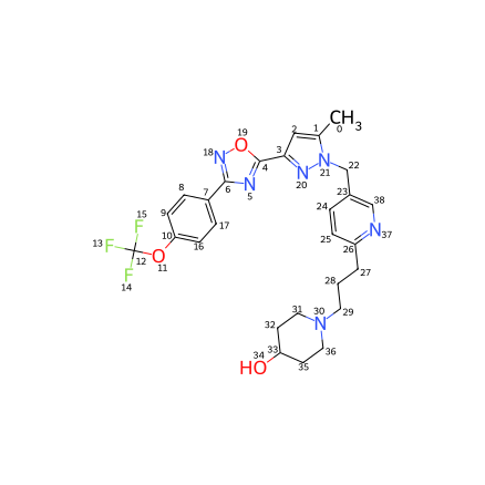 Cc1cc(-c2nc(-c3ccc(OC(F)(F)F)cc3)no2)nn1Cc1ccc(CCCN2CCC(O)CC2)nc1